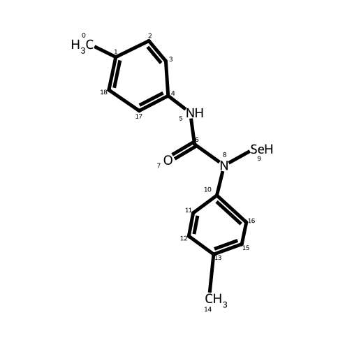 Cc1ccc(NC(=O)N([SeH])c2ccc(C)cc2)cc1